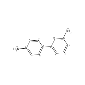 Bc1cccc(-c2ccc(N)cc2)c1